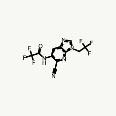 N#Cc1nc2c(cc1NC(=O)C(F)(F)F)ncn2CC(F)(F)F